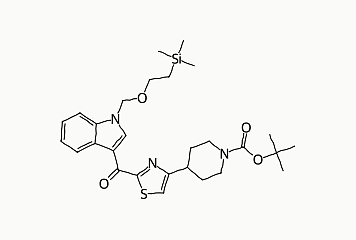 CC(C)(C)OC(=O)N1CCC(c2csc(C(=O)c3cn(COCC[Si](C)(C)C)c4ccccc34)n2)CC1